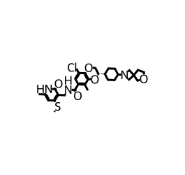 CSc1cc(C)[nH]c(=O)c1CNC(=O)c1cc(Cl)c2c(c1C)O[C@@H](C1CCC(N3CC4(CCOC4)C3)CC1)CO2